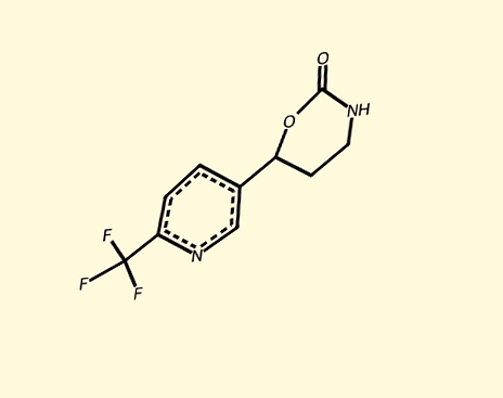 O=C1NCCC(c2ccc(C(F)(F)F)nc2)O1